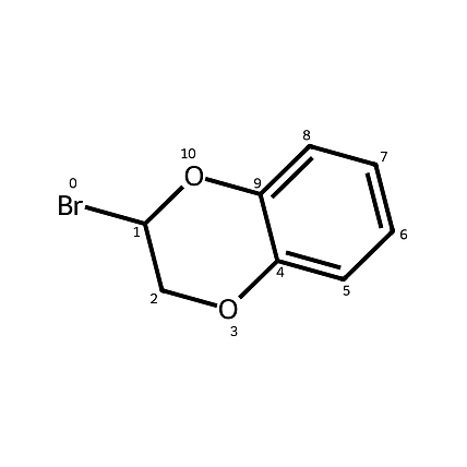 BrC1COc2ccccc2O1